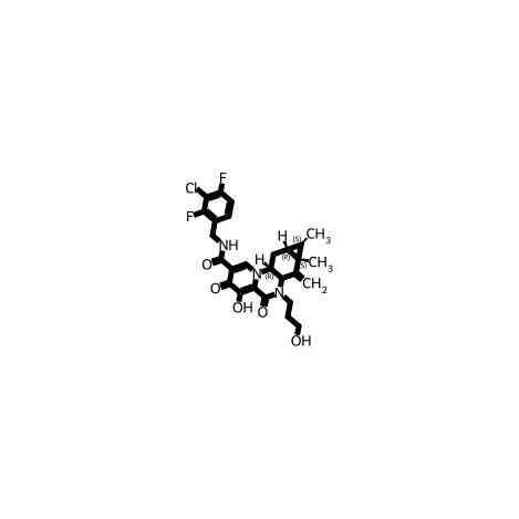 C=C1C2[C@@H](C[C@@H]3[C@H](C)[C@]13C)n1cc(C(=O)NCc3ccc(F)c(Cl)c3F)c(=O)c(O)c1C(=O)N2CCCO